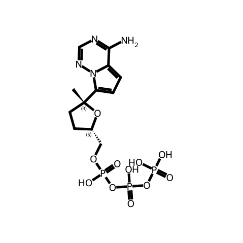 C[C@]1(c2ccc3c(N)ncnn23)CC[C@@H](COP(=O)(O)OP(=O)(O)OP(=O)(O)O)O1